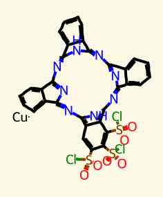 O=S(=O)(Cl)c1cc2c3nc4nc(nc5[nH]c(nc6nc(nc([nH]3)c2c(S(=O)(=O)Cl)c1S(=O)(=O)Cl)-c1ccccc1-6)c1ccccc51)-c1ccccc1-4.[Cu]